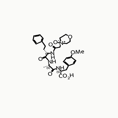 COc1ccc(C[C@H](NC(=O)[C@H](C)NC(=O)[C@H](CCc2ccccc2)NC(=O)C[N+]2([O-])CCOCC2)C(=O)O)cc1